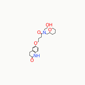 O=C1CCc2cc(OCCCC(=O)N(CCO)CC3CCCCO3)ccc2N1